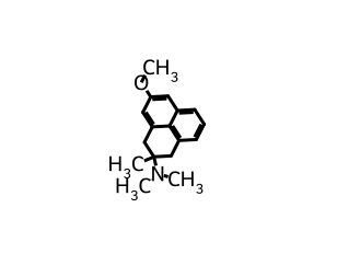 COc1cc2c3c(cccc3c1)CC(C)(N(C)C)C2